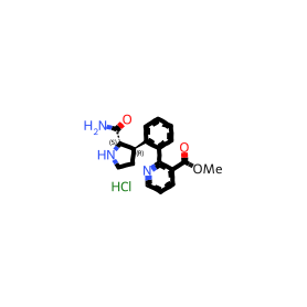 COC(=O)c1cccnc1-c1ccccc1[C@H]1CCN[C@@H]1C(N)=O.Cl